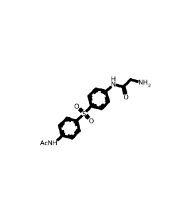 CC(=O)Nc1ccc(S(=O)(=O)c2ccc(NC(=O)CN)cc2)cc1